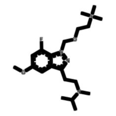 COc1cc(F)c2c(c1)c(CCN(C)C(C)C)nn2COCC[Si](C)(C)C